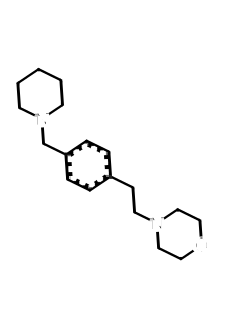 c1cc(CN2CCCCC2)ccc1CCN1CCOCC1